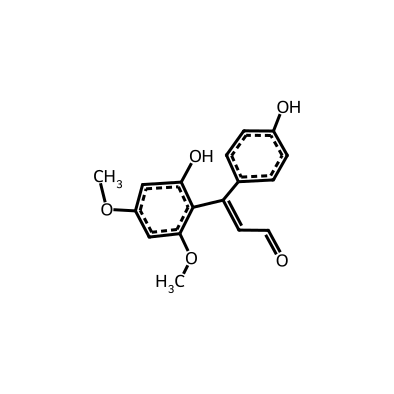 COc1cc(O)c(C(=CC=O)c2ccc(O)cc2)c(OC)c1